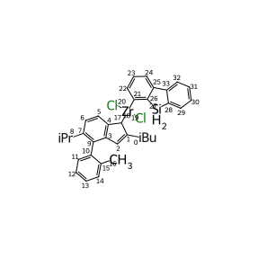 CCC(C)C1=Cc2c(ccc(C(C)C)c2-c2ccccc2C)[CH]1[Zr]([Cl])([Cl])[c]1cccc2c1[SiH2]c1ccccc1-2